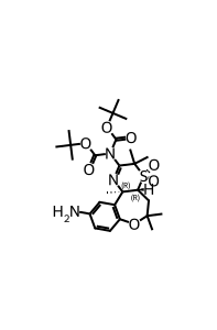 CC(C)(C)OC(=O)N(C(=O)OC(C)(C)C)C1=N[C@]2(C)c3cc(N)ccc3OC(C)(C)C[C@H]2S(=O)(=O)C1(C)C